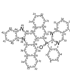 O=P(c1ccccc1)(c1ncc2ccccc2n1)c1cc2ccccc2c2c1c1cc3ccccc3cc1n1c3ccccc3nc21